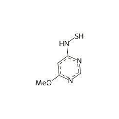 COc1cc(NS)ncn1